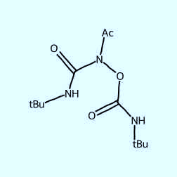 CC(=O)N(OC(=O)NC(C)(C)C)C(=O)NC(C)(C)C